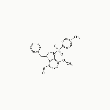 COc1ccc(C=O)c2c1N(S(=O)(=O)c1ccc(C)cc1)CC2Cc1ccccc1